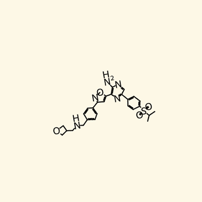 CC(C)S(=O)(=O)c1ccc(-c2cnc(N)c(-c3cc(-c4ccc(CNCC5COC5)cc4)no3)n2)cc1